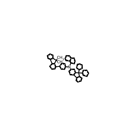 CC1(C)c2ccccc2-c2cccc(-c3ccc(N(c4ccc5c(c4)C(c4ccccc4)(c4ccccc4)c4ccccc4-5)c4cccc5ccccc45)cc3)c21